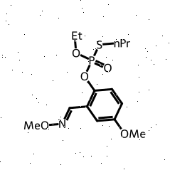 CCCSP(=O)(OCC)Oc1ccc(OC)cc1C=NOC